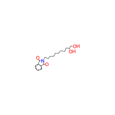 O=C1c2ccccc2C(=O)N1CCCCCCCCCC(O)CO